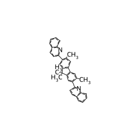 Cc1cc2c(cc1-c1ccc3ccccc3n1)C(C)(C)c1cc(-c3ccc4ccccc4n3)c(C)cc1-2